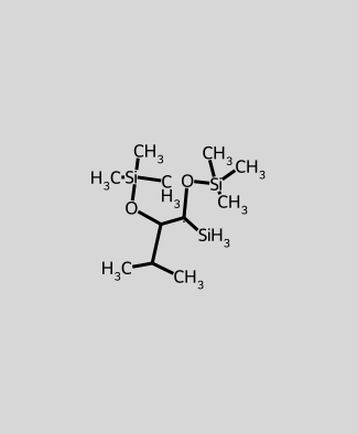 CC(C)C(O[Si](C)(C)C)[C]([SiH3])O[Si](C)(C)C